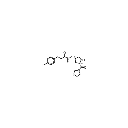 O=C(CCc1ccc(Cl)cc1)NC[C@@H]1CN[C@H](C(=O)N2CCSC2)C1